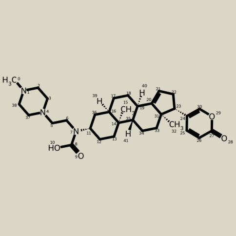 CN1CCN(CCN(C(=O)O)[C@H]2CC[C@@]3(C)[C@H](CC[C@H]4C5=CC[C@H](c6ccc(=O)oc6)[C@@]5(C)CC[C@@H]43)C2)CC1